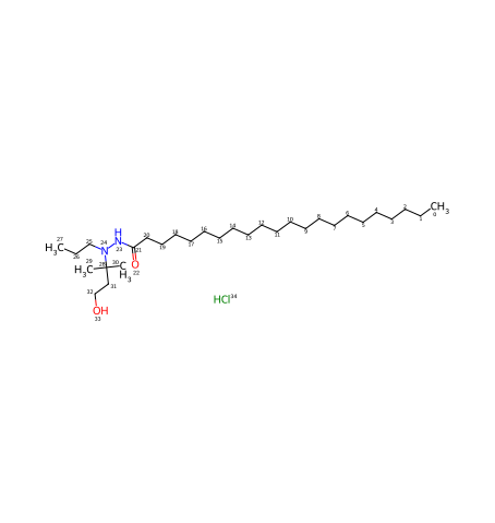 CCCCCCCCCCCCCCCCCCCCCC(=O)NN(CCC)C(C)(C)CCO.Cl